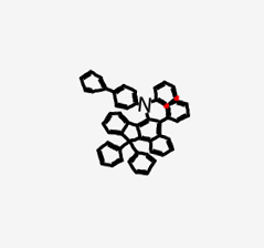 c1ccc(-c2ccc(N(c3ccccc3)c3c4c(c5ccccc5c3-c3ccccc3)C(c3ccccc3)(c3ccccc3)c3ccccc3-4)cc2)cc1